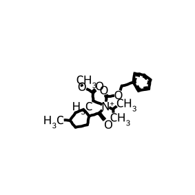 COC(=O)[C@@H](C)[N+](C(=O)OCc1ccccc1)(C(=O)C1CCC(C)CC1)C(C)C